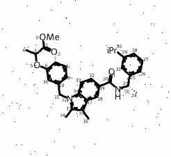 COC(=O)C(C)Oc1cccc(Cn2c(C)c(C)c3cc(C(=O)N[C@@H](C)c4cccc(C(C)C)c4)ccc32)c1